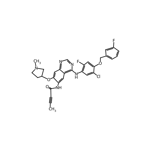 CC#CC(=O)Nc1cc2c(Nc3cc(Cl)c(OCc4cccc(F)c4)cc3F)ncnc2cc1OC1CCN(C)C1